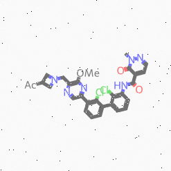 COc1nc(-c2cccc(-c3cccc(NC(=O)c4ccnn(C)c4=O)c3Cl)c2Cl)cnc1CN1CC(C(C)=O)C1